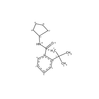 CC(C)(C)c1ccccc1C(=O)NC1CCCC1